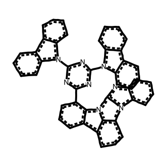 c1ccc2c(c1)nc1n2c2cccc3c4cccc(-c5nc(-n6c7ccccc7c7ccccc76)nc(-n6c7ccccc7c7ccccc76)n5)c4n1c32